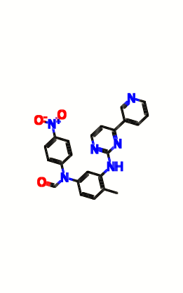 Cc1ccc(N(C=O)c2ccc([N+](=O)[O-])cc2)cc1Nc1nccc(-c2cccnc2)n1